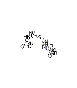 O=C1C=C(OCNc2nnc(CCSCCc3nnc(/N=C\Oc4cc(=O)[nH]c(=O)[nH]4)s3)s2)NC(=O)C1